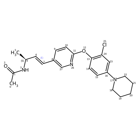 CC(=O)N[C@@H](C)/C=C/c1ccc(Oc2ccc(N3CCCCC3)cc2Cl)nc1